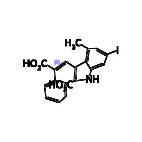 Cc1cc(I)cc2[nH]c(C(=O)O)c(/C=C(/C(=O)O)c3ccccc3)c12